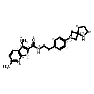 Cc1ccc2c(N)c(C(=O)NCCc3ccc(N4CC5(CCCN5)C4)cc3)sc2n1